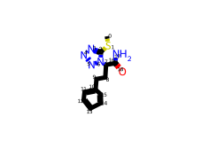 CSc1nnnn1C(CCc1ccccc1)C(N)=O